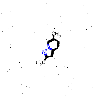 Cc1ccc2cc(C)nn2c1